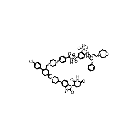 Cn1c(=O)n(C2CCC(=O)NC2=O)c2ccc(C3CCN(C[C@]4(C)CCC(c5ccc(Cl)cc5)=C(CN5CCN(c6ccc(C(=O)NS(=O)(=O)c7ccc(N[C@H](CCN8CCCOCC8)CSc8ccccc8)c(S(=O)(=O)C(F)(F)F)c7)cc6)CC5)C4)CC3)cc21